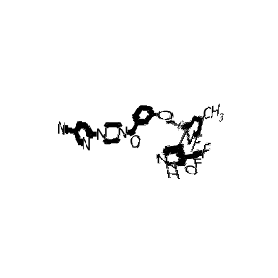 C[C@H]1C[C@@H](COc2cccc(C(=O)N3CCN(c4ccc(C#N)cn4)CC3)c2)N(c2cn[nH]c(=O)c2C(F)(F)F)C1